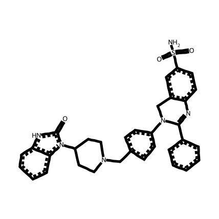 NS(=O)(=O)c1ccc2c(c1)CN(c1ccc(CN3CCC(n4c(=O)[nH]c5ccccc54)CC3)cc1)C(c1ccccc1)=N2